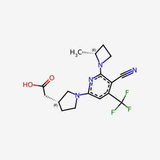 C[C@@H]1CCN1c1nc(N2CC[C@H](CC(=O)O)C2)cc(C(F)(F)F)c1C#N